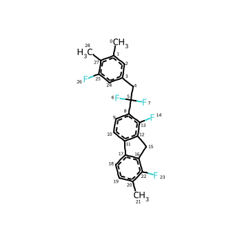 Cc1cc(CC(F)(F)c2ccc3c(c2F)Cc2c-3ccc(C)c2F)cc(F)c1C